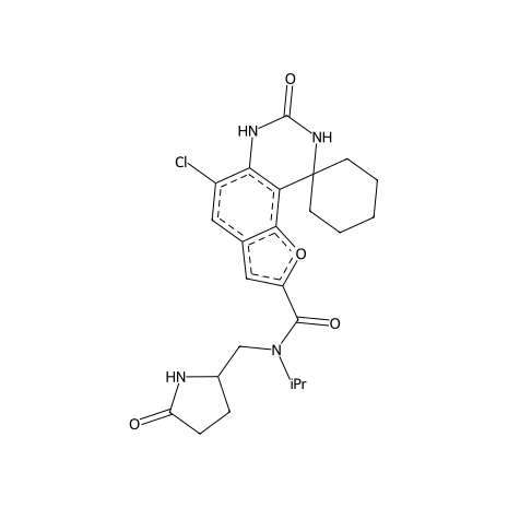 CC(C)N(CC1CCC(=O)N1)C(=O)c1cc2cc(Cl)c3c(c2o1)C1(CCCCC1)NC(=O)N3